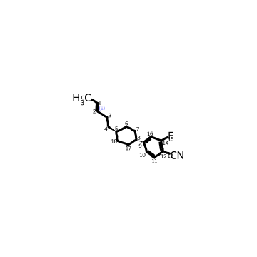 C/C=C/CC[C@H]1CC[C@H](c2ccc(C#N)c(F)c2)CC1